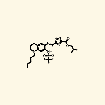 CCCCCN1CCCc2cc(N=Nc3nnc(C(=O)OCC(C)C)s3)c(NS(=O)(=O)C(F)(F)F)cc21